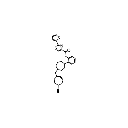 C#CC1CC=CC(CC2CCCC(c3ccccc3CC(=O)c3csc(-c4cccs4)n3)CC2)CC1